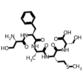 CSCC[C@H](NC(=O)[C@H](C)NC(=O)[C@H](Cc1ccccc1)NC(=O)[C@@H](N)CO)C(=O)N[C@@H](CO)C(=O)O